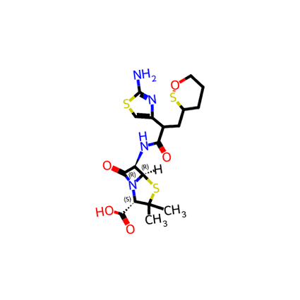 CC1(C)S[C@@H]2[C@H](NC(=O)C(CC3CCCOS3)c3csc(N)n3)C(=O)N2[C@H]1C(=O)O